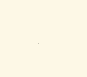 CCO[SiH2]C(C)CC(C)C